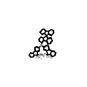 CC1(C)c2ccccc2-c2ccc(N(C3=C4c5ccccc5C5(c6ccccc6-c6ccccc65)C4CC=C3)c3ccc4c(c3)C(C)(C)c3ccccc3-4)cc21